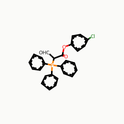 O=CC(C(=O)Oc1ccc(Cl)cc1)[P](c1ccccc1)(c1ccccc1)c1ccccc1